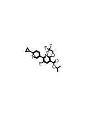 CC(C)OC(=O)c1cc(F)c(-c2ccc(C3CC3)nc2)nc1O[C@@H](C)C(F)(F)F